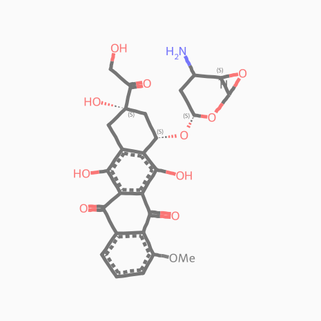 COc1cccc2c1C(=O)c1c(O)c3c(c(O)c1C2=O)C[C@@](O)(C(=O)CO)C[C@@H]3O[C@@H]1CC(N)[C@@H]2OC2O1